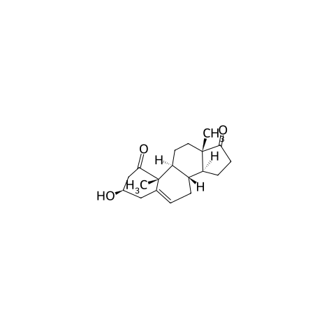 C[C@]12C(=O)C[C@H](O)CC1=CC[C@@H]1[C@@H]2CC[C@]2(C)C(=O)CC[C@@H]12